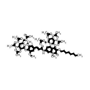 CCCCCCCCOc1c(O[C@H]2O[C@H](COC(C)=O)[C@@H](OC(C)=O)[C@H](OC(C)=O)[C@@H]2OC(C)=O)c2ccc(NC(=O)C=Cc3cc(OC)c(O[C@@H]4O[C@H](COC(C)=O)[C@@H](OC(C)=O)[C@H](OC(C)=O)[C@@H]4OC(C)=O)c(OC)c3)cc2n(C)c1=O